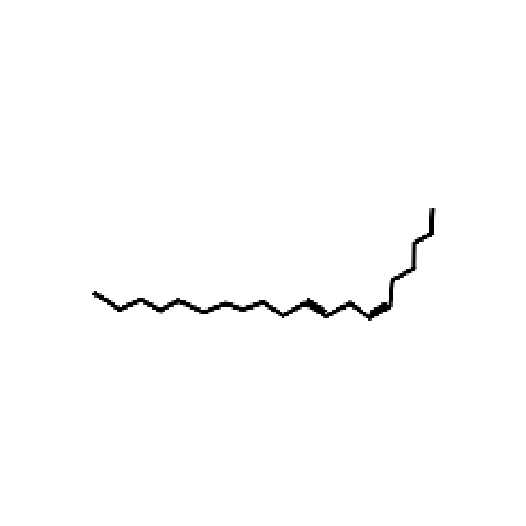 CCCCC/C=C\CC=CCCCCCCCCCC